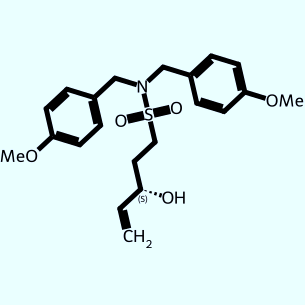 C=C[C@@H](O)CCS(=O)(=O)N(Cc1ccc(OC)cc1)Cc1ccc(OC)cc1